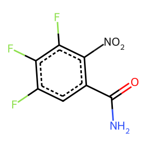 NC(=O)c1cc(F)c(F)c(F)c1[N+](=O)[O-]